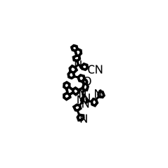 N#Cc1ccc(N(c2ccc3c(ccc4ccccc43)c2)c2ccc3cccc(-c4ccc5oc6ccc7c(c8cc9c%10ccccc%10c%10ccccc%10c9cc8n7-c7nc(-c8cccc(-c9cccnc9)c8)nc(-c8cccc(-c9ccccn9)c8)n7)c6c5c4)c3c2)cc1